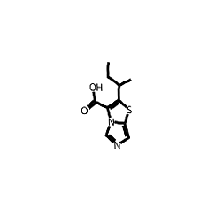 CCC(C)c1sc2cncn2c1C(=O)O